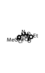 CCC1CCC(NC(=O)c2cncc(-c3ccc(OC)c(Cl)c3)c2)(C(=O)OC)CC1